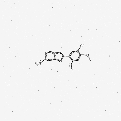 COc1cc(OC)c(-c2cn3cnc(N)cc3n2)cc1Cl